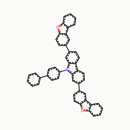 c1ccc(-c2ccc(-n3c4cc(-c5ccc6oc7ccccc7c6c5)ccc4c4ccc(-c5ccc6oc7ccccc7c6c5)cc43)cc2)cc1